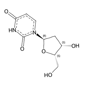 O=c1ccn([C@H]2C[C@H](O)[C@H](CO)O2)c(=O)[nH]1